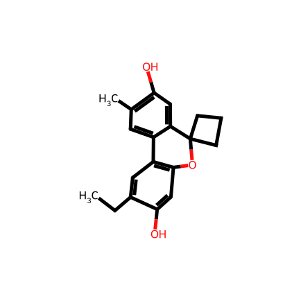 CCc1cc2c(cc1O)OC1(CCC1)c1cc(O)c(C)cc1-2